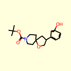 CC(C)(C)OC(=O)N1CCC2(CC1)CC(c1cccc(O)c1)CO2